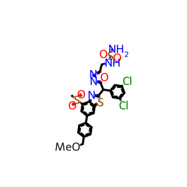 COCc1ccc(-c2cc(S(C)(=O)=O)c3nc(C(c4cc(Cl)cc(Cl)c4)c4nnc(CNS(N)(=O)=O)o4)sc3c2)cc1